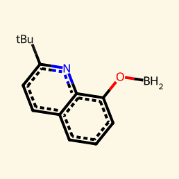 BOc1cccc2ccc(C(C)(C)C)nc12